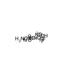 C[C@H]1COCCN1C[C@H]1CN(S(=O)(=O)c2ccc(N)nc2)CCN1c1ccc(C(C)(O)C(F)(F)F)cc1